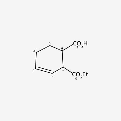 CCOC(=O)C1C=CCCC1C(=O)O